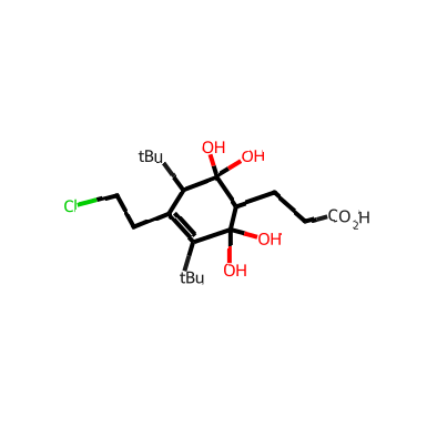 CC(C)(C)C1=C(CCCl)C(C(C)(C)C)C(O)(O)C(CCC(=O)O)C1(O)O